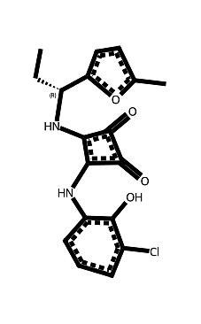 CC[C@@H](Nc1c(Nc2cccc(Cl)c2O)c(=O)c1=O)c1ccc(C)o1